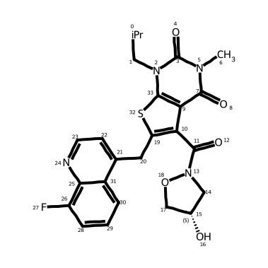 CC(C)Cn1c(=O)n(C)c(=O)c2c(C(=O)N3C[C@H](O)CO3)c(Cc3ccnc4c(F)cccc34)sc21